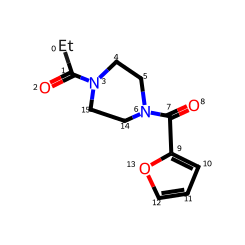 CCC(=O)N1CCN(C(=O)c2ccco2)CC1